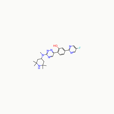 CN(c1ncc(-c2ccc(-c3ncc(F)cn3)cc2O)nn1)C1CC(C)(C)NC(C)(C)C1